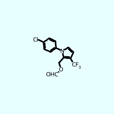 O=COCc1c(C(F)(F)F)ccn1-c1ccc(Cl)cc1